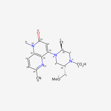 CC[C@H]1CN(C(=O)O)[C@H](COC)CN1c1cc(=O)n(C)c2ccc(C#N)nc12